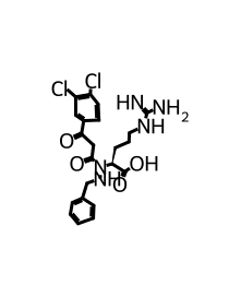 N=C(N)NCCC[C@@H](C(=O)O)N(NCc1ccccc1)C(=O)CC(=O)c1ccc(Cl)c(Cl)c1